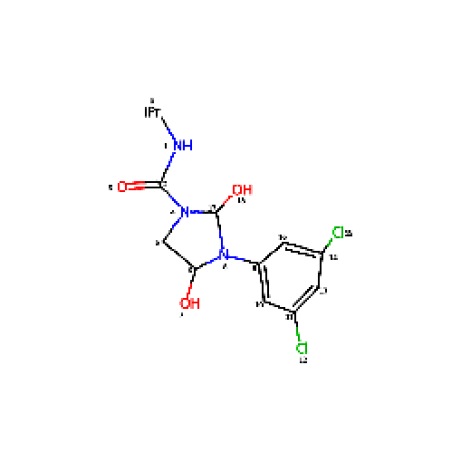 CC(C)NC(=O)N1CC(O)N(c2cc(Cl)cc(Cl)c2)C1O